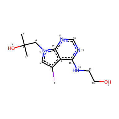 CC(C)(O)Cn1cc(I)c2c(NCCO)ncnc21